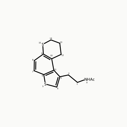 CC(=O)NCCc1csc2ccc3c(c12)CCCS3